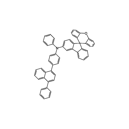 c1ccc(-c2ccc(-c3ccc(N(c4ccccc4)c4ccc5c(c4)-c4ccccc4C54c5ccccc5Oc5ccccc54)cc3)c3ccccc23)cc1